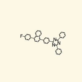 Fc1ccc(-c2ccc(-c3ccc(-c4nc(-c5ccccc5)nc(-c5ccccc5)n4)cc3)c3ccccc23)cc1